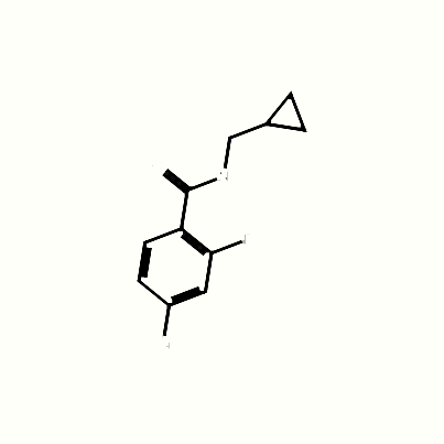 O=C(NCC1CC1)c1ccc(Br)cc1F